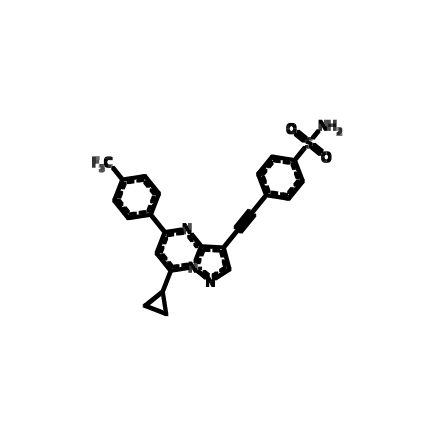 NS(=O)(=O)c1ccc(C#Cc2cnn3c(C4CC4)cc(-c4ccc(C(F)(F)F)cc4)nc23)cc1